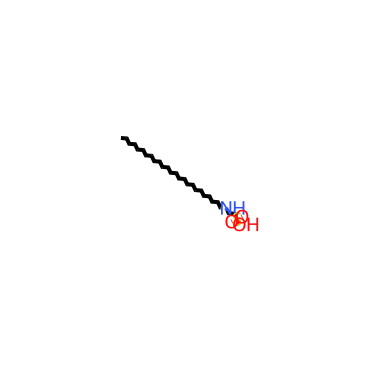 CCCCCCCCCCCCCCCCCCCCCCCCCNCCS(=O)(=O)O